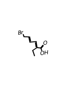 CC/C(=C\C=C\CBr)C(=O)O